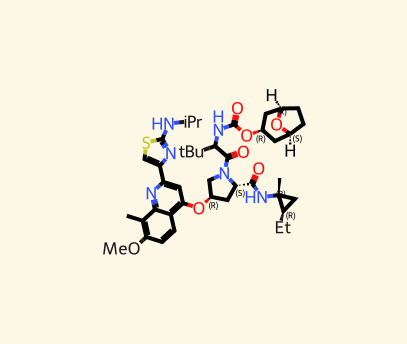 CC[C@@H]1C[C@@]1(C)NC(=O)[C@@H]1C[C@@H](Oc2cc(-c3csc(NC(C)C)n3)nc3c(C)c(OC)ccc23)CN1C(=O)C(NC(=O)O[C@H]1C[C@H]2CC[C@@H](C1)O2)C(C)(C)C